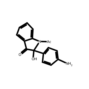 CC(=O)N1c2ccccc2C(=O)C1(O)c1ccc(N)cc1